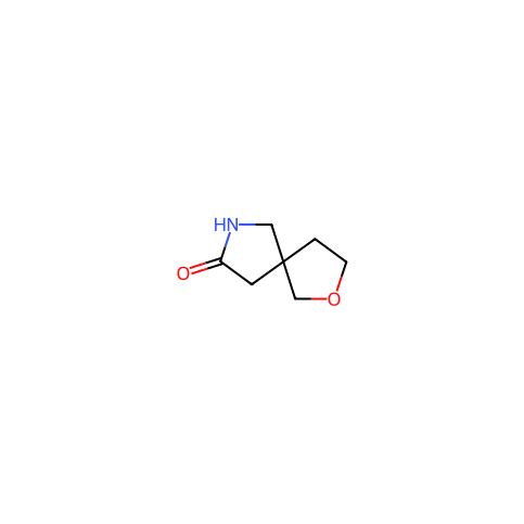 O=C1CC2(CCOC2)CN1